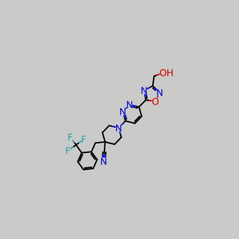 N#CC1(Cc2ccccc2C(F)(F)F)CCN(c2ccc(-c3nc(CO)no3)nn2)CC1